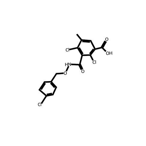 Cc1cc(C(=O)O)c(Cl)c(C(=O)NOCc2ccc(Cl)cc2)c1Cl